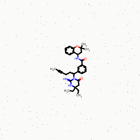 CC#CCCC(c1cccc(C(=O)NC2CC(C)(C)Oc3ccccc32)c1)N1C(=N)NC(CC)(CC)CC1=O